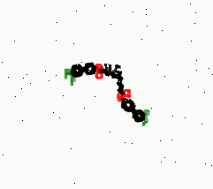 CCC(CCCCC(=O)OC1CCC(c2ccc(F)c(F)c2)CC1)CCCCC(=O)OC1CCC(c2ccc(F)c(F)c2)CC1